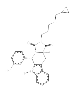 C[C@@]12Cc3c(n(Cl)c4ccccc34)[C@@H](c3cccc(O)c3)N1C(=O)N(CCCNCC1CC1)C2=O